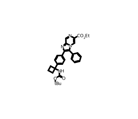 CCOC(=O)c1cn2c(-c3ccccc3)c(-c3ccc(C4(NC(=O)OC(C)(C)C)CCC4)cc3)nc2cn1